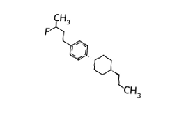 CCC[C@H]1CC[C@H](c2ccc(CCC(C)F)cc2)CC1